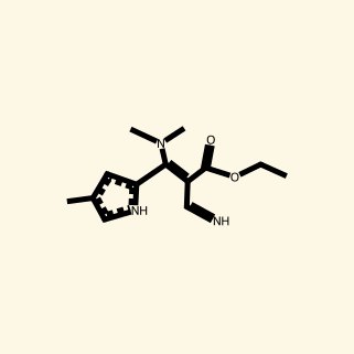 CCOC(=O)/C(C=N)=C(/c1cc(C)c[nH]1)N(C)C